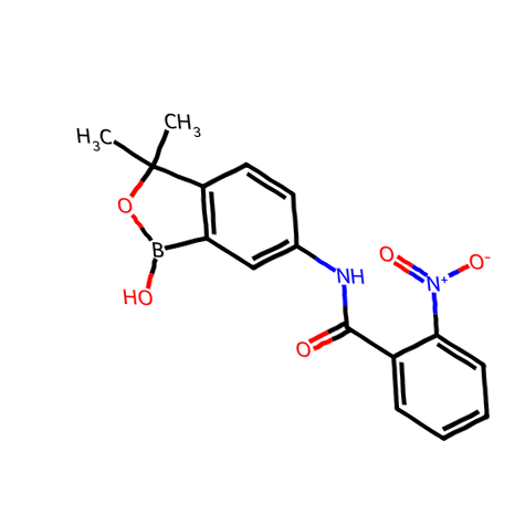 CC1(C)OB(O)c2cc(NC(=O)c3ccccc3[N+](=O)[O-])ccc21